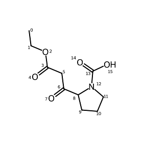 CCOC(=O)CC(=O)C1CCCN1C(=O)O